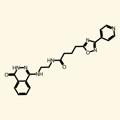 O=C(CCCc1nc(-c2ccncc2)no1)NCCNc1n[nH]c(=O)c2ccccc12